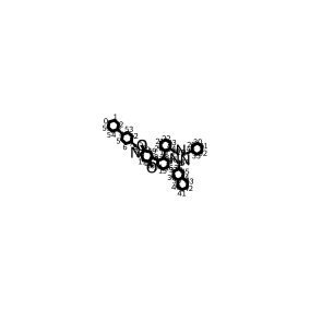 c1ccc(-c2ccc(-c3nc4cc5oc6cccc(-c7ccccc7-c7nc(-c8ccccc8)nc(-c8ccc9ccccc9c8)n7)c6c5cc4o3)cc2)cc1